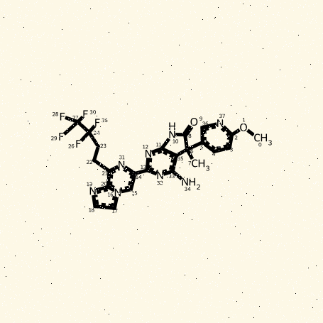 COc1ccc(C2(C)C(=O)Nc3nc(-c4cn5ccnc5c(CCC(F)(F)C(F)(F)F)n4)nc(N)c32)cn1